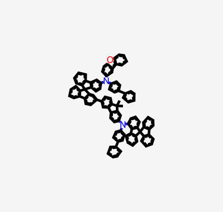 CC1(C)c2ccc(-c3ccc4c(c3)C3(c5ccccc5-c5cc(N(c6ccc(-c7ccccc7)cc6)c6ccc7oc8ccccc8c7c6)ccc53)c3ccccc3-4)cc2-c2ccc(N(c3ccc(-c4ccccc4)cc3)c3cccc4c3-c3ccccc3C43c4ccccc4-c4ccccc43)cc21